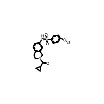 CCOc1ccc(S(=O)(=O)Nc2ccc3c(c2)CN(C(=O)C2CC2)CC3)cc1